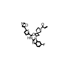 C=CC(=O)N1CC[C@]2(C1)C[C@@H](n1c(NC(=O)c3ccc(-c4cnco4)s3)nc3ccc(F)cc31)C2